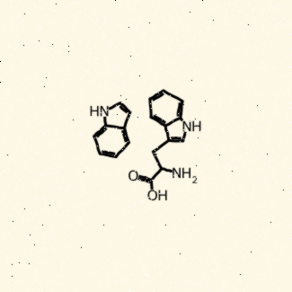 NC(Cc1c[nH]c2ccccc12)C(=O)O.c1ccc2[nH]ccc2c1